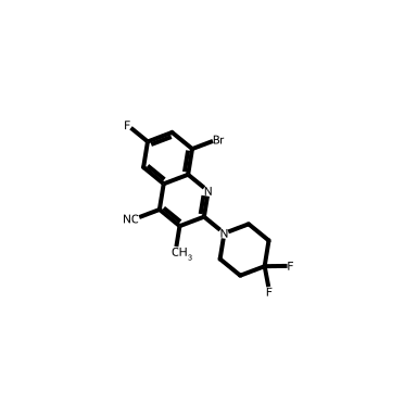 Cc1c(N2CCC(F)(F)CC2)nc2c(Br)cc(F)cc2c1C#N